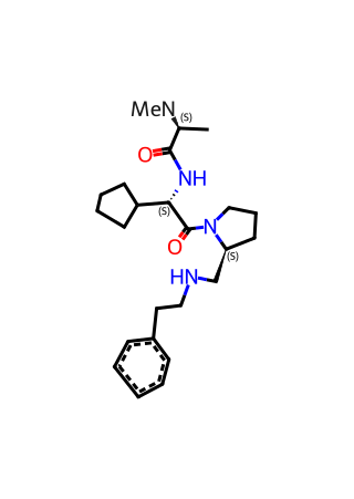 CN[C@@H](C)C(=O)N[C@H](C(=O)N1CCC[C@H]1CNCCc1ccccc1)C1CCCC1